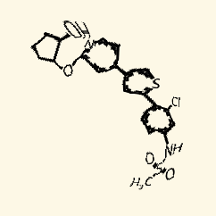 CS(=O)(=O)Nc1ccc(-c2cc(-c3ccnc(OC4CCCC4O)c3)cs2)c(Cl)c1